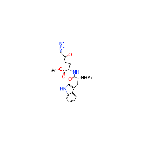 CC(=O)N[C@H](Cc1c[nH]c2ccccc12)C(=O)N[C@H](CCC(=O)C=[N+]=[N-])C(=O)OC(C)C